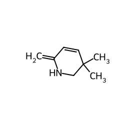 C=C1C=CC(C)(C)CN1